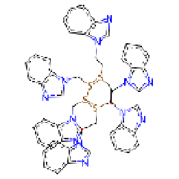 c1ccc2c(c1)ncn2CCS(CCn1cnc2ccccc21)=S(Cn1cnc2ccccc21)S(Cn1cnc2ccccc21)=S(CCn1cnc2ccccc21)CCn1cnc2ccccc21